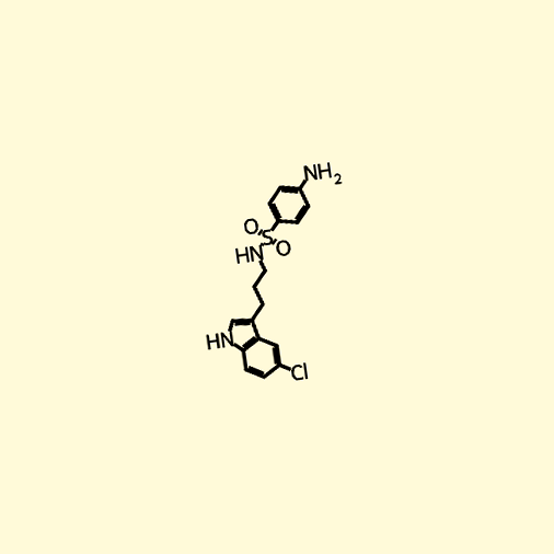 Nc1ccc(S(=O)(=O)NCCCc2c[nH]c3ccc(Cl)cc23)cc1